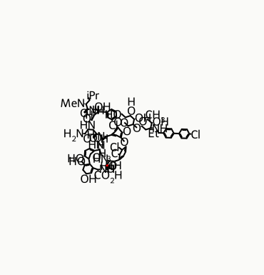 CCC1(NCc2ccc(-c3ccc(Cl)cc3)cc2)C[C@H](OC2[C@@H](Oc3c4cc5cc3Oc3ccc(cc3Cl)[C@@H](O)[C@@H](NC(=O)[C@@H](CC(C)C)NC)C(=O)N[C@@H](CC(N)=O)C(=O)N[C@H]5C(=O)NC3C(=O)N[C@H](C(=O)N[C@H](C(=O)O)C5=CC(O)CC(O)=C5C5CC3=CC=C5O)[C@H](O)C3=CC=C(O4)C(Cl)C3C)OC(CO)C(O)[C@@H]2O)O[C@@H](C)[C@H]1O